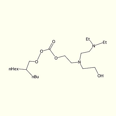 CCCCCCC(CCCC)COOC(=O)OCCN(CCO)CCN(CC)CC